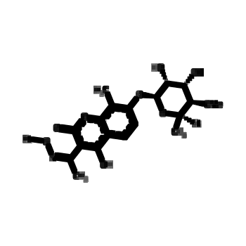 CCO/N=C(/C)c1c(O)c2ccc(O[C@@H]3O[C@@](C)(CC)[C@H](OC)[C@@H](O)[C@H]3O)c(C)c2oc1=O